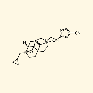 N#Cc1cnn(CCN2CC[C@]34CCN(CC5CC5)[C@H](Cc5ccc(O)cc53)[C@]4(O)CC2)c1